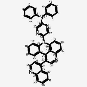 c1ccc(N(c2ccccc2)c2cnc(B3c4ccccc4-c4c(-c5ccnc6ccccc56)cnc5cccc3c45)cn2)cc1